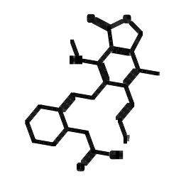 CNc1c(CC=C2CCCCC2CC(=O)O)c(/C=C/F)c(C)c2c1C(=O)OC2